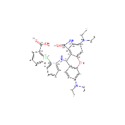 CCN(CC)c1ccc2c(c1)Oc1cc(N(CC)CC)c3c(c1C2Nc1ccccc1Cl)C(=O)N3.O=C(O)c1ccccc1